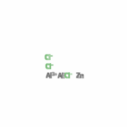 [Al+3].[Al].[Cl-].[Cl-].[Cl-].[Zn]